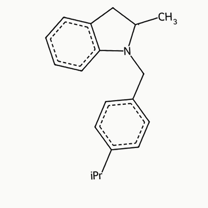 C[C]1Cc2ccccc2N1Cc1ccc(C(C)C)cc1